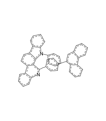 c1ccc(-n2c3ccccc3c3ccc4c5ccccc5nc(-c5ccc(-c6cc7ccccc7c7ccccc67)cc5)c4c32)cc1